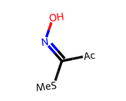 CSC(=NO)C(C)=O